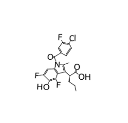 CCC[C@H](C(=O)O)c1c(C)n(C(=O)c2ccc(Cl)c(F)c2)c2cc(F)c(O)c(F)c12